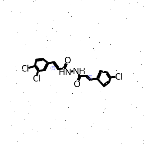 O=C(/C=C/c1ccc(Cl)cc1)NNC(=O)/C=C/c1ccc(Cl)c(Cl)c1